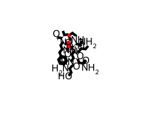 CCCC(=O)N(C(=O)[C@H](CCC(N)=O)NC(=O)[C@@H](N)CO)[C@@H](CC(N)=O)C(=O)NC(Cc1ccccc1)CN(C(=O)[C@@H]1CCCN1)[C@H]([C]=O)C(C)C